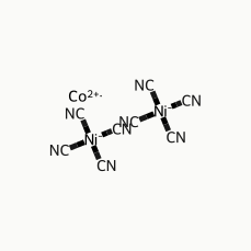 N#[C][Ni-]([C]#N)([C]#N)[C]#N.N#[C][Ni-]([C]#N)([C]#N)[C]#N.[Co+2]